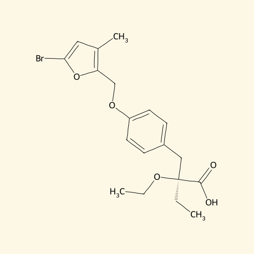 CCO[C@@](CC)(Cc1ccc(OCc2oc(Br)cc2C)cc1)C(=O)O